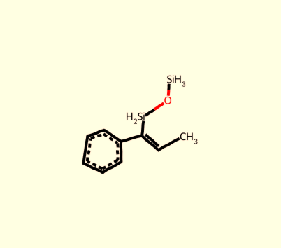 CC=C([SiH2]O[SiH3])c1ccccc1